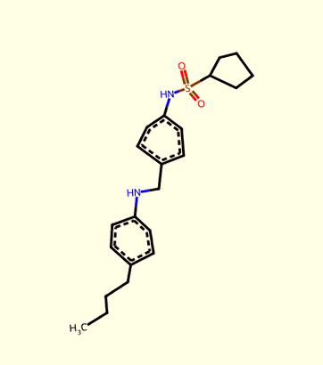 CCCCc1ccc(NCc2ccc(NS(=O)(=O)C3CCCC3)cc2)cc1